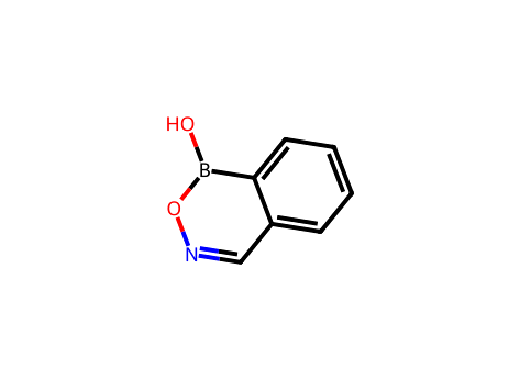 OB1ON=Cc2ccccc21